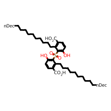 CCCCCCCCCCCCCCCCCCCCc1c(C(=O)O)ccc(O)c1S(=O)(=O)c1c(O)ccc(C(=O)O)c1CCCCCCCCCCCCCCCCCCCC